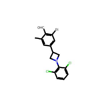 CCc1cc(C2CN(c3c(Cl)cccc3Cl)C2)cc(C)c1C=O